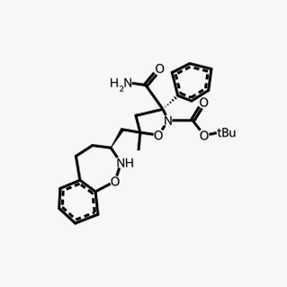 CC(C)(C)OC(=O)N1OC(C)(C[C@@H]2CCc3ccccc3ON2)C[C@]1(C(N)=O)c1ccccc1